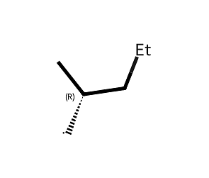 [CH2][C@H](C)CCC